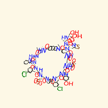 CC[C@H](C)[C@@H]1NC(=O)CCCN(CC)C(=O)C[C@@H](C(=O)N(C)[C@@H](Cc2cscn2)C(=O)N(C)[C@@H](C)C(=O)N[C@@H](CO)C(=O)O)NC(=O)[C@H](CCS(C)(=O)=O)NC(=O)[C@@H](Cc2ccc(O)cc2)NC(=O)[C@H](Cc2cccc(Cl)c2)N(C)C(=O)[C@@H]2CCCN2C(=O)[C@H](CCS(C)(=O)=O)NC(=O)[C@H](Cc2cccc(Cl)c2)N(C)C(=O)[C@H](Cc2c[nH]c3ccccc23)NC(=O)[C@H](C(C)C)NC1=O